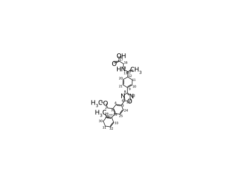 COCc1cc(-c2nc(C3=CCC([C@H](C)NCC(=O)O)C=C3)no2)ccc1C1=C(C)CCC=C1